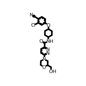 N#Cc1ccc(OC2CCC(NC(=O)c3ccc(N4CCOC(CO)C4)nn3)CC2)cc1Cl